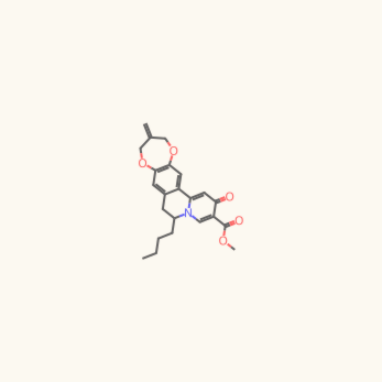 C=C1COc2cc3c(cc2OC1)-c1cc(=O)c(C(=O)OC)cn1C(CCCC)C3